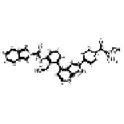 CN(C)C(=O)N1CC=C(c2cc3c(-c4cccc(NC(=O)n5cc6ccccc6c5)c4CO)ccnc3[nH]2)CC1